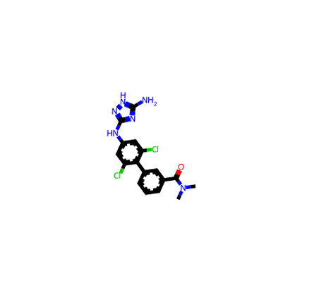 CN(C)C(=O)c1cccc(-c2c(Cl)cc(Nc3n[nH]c(N)n3)cc2Cl)c1